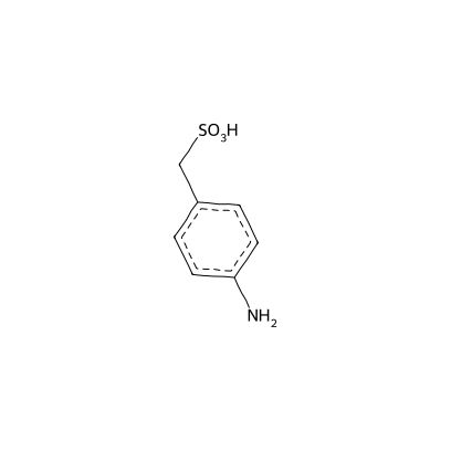 Nc1ccc(CS(=O)(=O)O)cc1